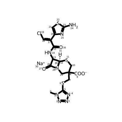 Cn1nnnc1SCC1(C(=O)[O-])CS[C@@H]2C(NC(=O)C(=CCl)c3csc(N)n3)C(=O)N2C1.[Na+]